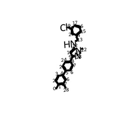 Cc1ccc(-c2ccc(-c3cc(NCc4cccc(Cl)c4)n(C)n3)cc2)cc1C